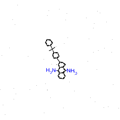 CC(C)(c1ccccc1)c1ccc(-c2[c]c3c(N)c4ccccc4c(N)c3cc2)cc1